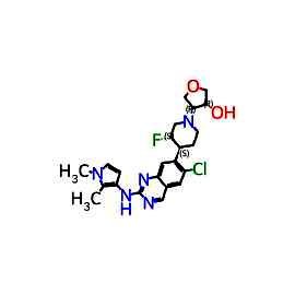 Cc1c(Nc2ncc3cc(Cl)c([C@@H]4CCN([C@@H]5COC[C@@H]5O)C[C@H]4F)cc3n2)ccn1C